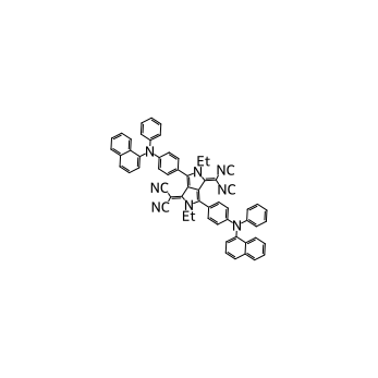 [C-]#[N+]C([N+]#[C-])=c1c2c(-c3ccc(N(c4ccccc4)c4cccc5ccccc45)cc3)n(CC)c(=C(C#N)C#N)c2c(-c2ccc(N(c3ccccc3)c3cccc4ccccc34)cc2)n1CC